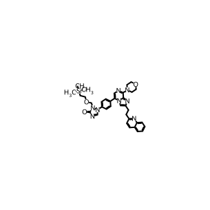 C[Si](C)(C)CCOCn1c(=O)ncn1-c1ccc(-c2cnc(N3CCOCC3)c3nc(CCc4ccc5ccccc5n4)cn23)cc1